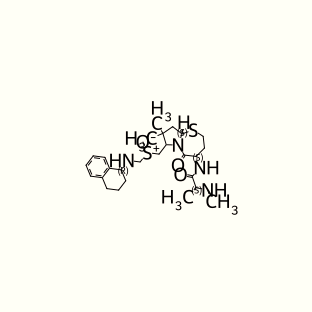 CN[C@@H](C)C(=O)N[C@H]1CCS[C@H]2CC(C)(C)C(C[S+]([O-])CN[C@@H]3CCCc4ccccc43)N2C1=O